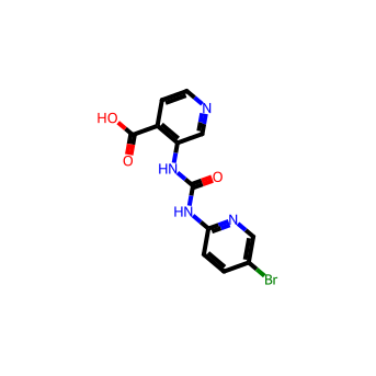 O=C(Nc1ccc(Br)cn1)Nc1cnccc1C(=O)O